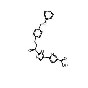 O=C(O)c1ccc(-c2cnc(C(=O)CCc3ccc(COc4ccccc4)cc3)o2)nc1